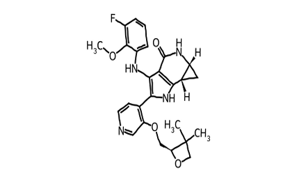 COc1c(F)cccc1Nc1c(-c2ccncc2OC[C@@H]2OCC2(C)C)[nH]c2c1C(=O)N[C@@H]1C[C@H]21